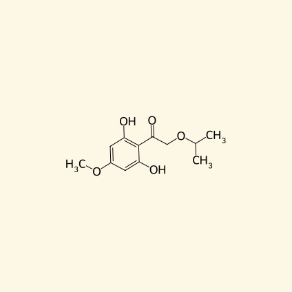 COc1cc(O)c(C(=O)COC(C)C)c(O)c1